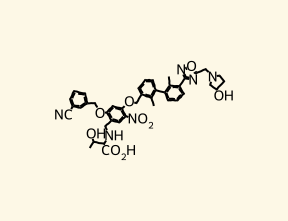 Cc1c(COc2cc(OCc3cccc(C#N)c3)c(CN[C@H](C(=O)O)C(C)O)cc2[N+](=O)[O-])cccc1-c1cccc(-c2noc(CN3CC[C@@H](O)C3)n2)c1C